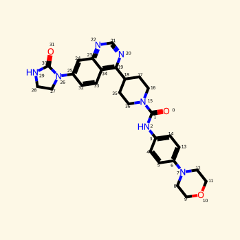 O=C(Nc1ccc(N2CCOCC2)cc1)N1CCC(c2ncnc3cc(N4CCNC4=O)ccc23)CC1